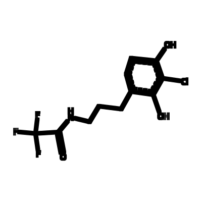 O=C(NCCCc1ccc(O)c(Cl)c1O)C(F)(F)F